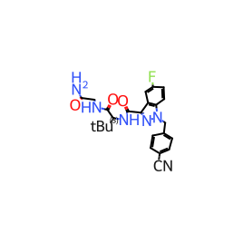 CC(C)(C)[C@H](NC(=O)c1nn(Cc2ccc(C#N)cc2)c2ccc(F)cc12)C(=O)NCC(N)=O